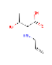 C=CCNC(C(=O)O)C(C)O